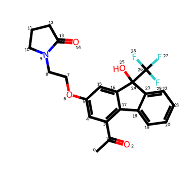 CC(=O)c1cc(OCCN2CCCC2=O)cc2c1-c1ccccc1C2(O)C(F)(F)F